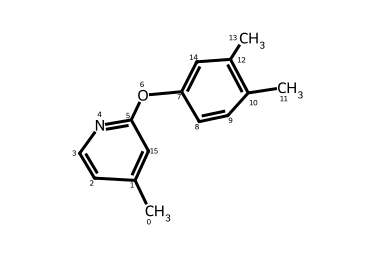 Cc1ccnc(Oc2ccc(C)c(C)c2)c1